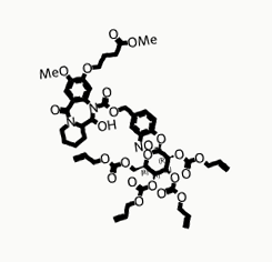 C=CCOC(=O)OC[C@H]1O[C@@H](Oc2ccc(COC(=O)N3c4cc(OCCCC(=O)OC)c(OC)cc4C(=O)N4CCCCC4C3O)cc2[N+](=O)[O-])[C@H](OC(=O)OCC=C)[C@@H](OC(=O)OCC=C)[C@@H]1OC(=O)OCC=C